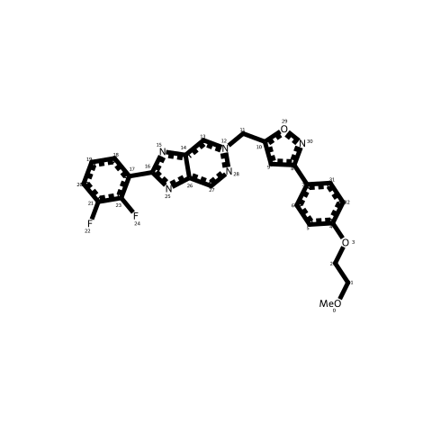 COCCOc1ccc(-c2cc(Cn3cc4nc(-c5cccc(F)c5F)nc-4cn3)on2)cc1